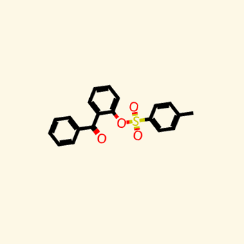 Cc1ccc(S(=O)(=O)Oc2ccccc2C(=O)c2ccccc2)cc1